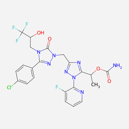 CC(OC(N)=O)c1nc(Cn2nc(-c3ccc(Cl)cc3)n(CC(O)C(F)(F)F)c2=O)nn1-c1ncccc1F